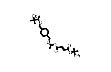 CCCC(C)(C)OC(=O)/C=C/C(=O)OC(C)OCC1CCC(COC(C)C(C)(C)CC)CC1